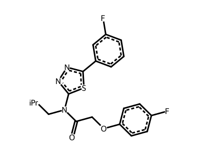 CC(C)CN(C(=O)COc1ccc(F)cc1)c1nnc(-c2cccc(F)c2)s1